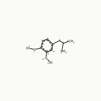 CCOc1ccc(CC(C)N)cc1OCC